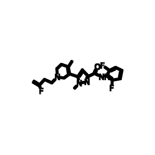 C=C(F)CCN1CCC(C)=C(c2cc(C(=O)Nc3c(F)cccc3F)nn2C)C1